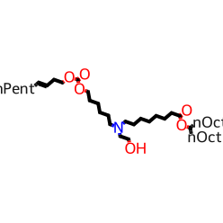 CCCCCC=CCCOC(=O)OCCCCCCN(CCO)CCCCCCCC(=O)OC(CCCCCCCC)CCCCCCCC